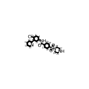 O=C(Nc1ccc(Cl)c(-c2ccccn2)c1)c1ccc(S(=O)(=O)N2CCNCC2)cc1